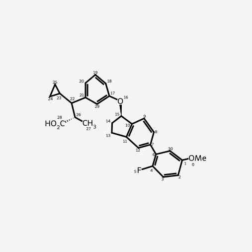 COc1ccc(F)c(-c2ccc3c(c2)CC[C@H]3Oc2cccc(C(C3CC3)[C@H](C)C(=O)O)c2)c1